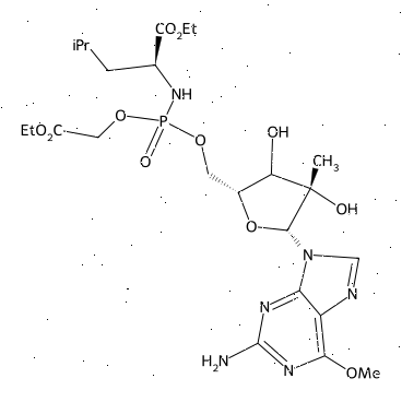 CCOC(=O)COP(=O)(N[C@@H](CC(C)C)C(=O)OCC)OC[C@H]1O[C@@H](n2cnc3c(OC)nc(N)nc32)[C@@](C)(O)C1O